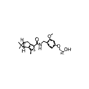 COc1cc(OC[C@@H](C)O)ccc1CNC(=O)c1sc(C)c2c1C[C@@H]1[C@H]2C1(C)C